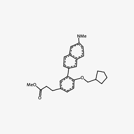 CNc1ccc2cc(-c3cc(CCC(=O)OC)ccc3OCC3CCCC3)ccc2c1